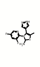 CC1=C(c2cn[nH]c2)N(c2ncc(F)cc2F)C(N)S1